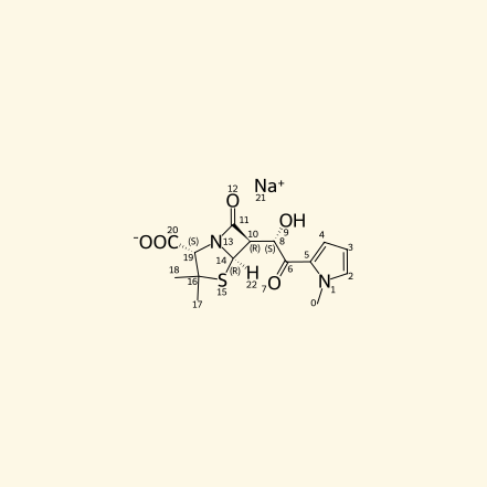 Cn1cccc1C(=O)[C@@H](O)[C@@H]1C(=O)N2[C@@H]1SC(C)(C)[C@@H]2C(=O)[O-].[Na+]